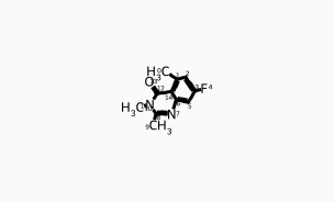 Cc1cc(F)cc2nc(C)n(C)c(=O)c12